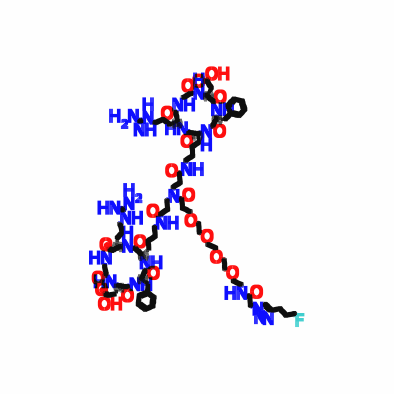 N=C(N)NCCC[C@@H]1NC(=O)[C@H](CCCCNC(=O)CCN(CCC(=O)NCCCC[C@@H]2NC(=O)[C@@H](Cc3ccccc3)NC(=O)[C@H](CC(=O)O)NC(=O)CNC(=O)[C@H](CCCNC(=N)N)NC2=O)C(=O)CCOCCOCCOCCOCCNC(=O)Cn2cc(CCCF)nn2)NC(=O)[C@@H](Cc2ccccc2)NC(=O)[C@H](CC(=O)O)NC(=O)CNC1=O